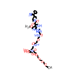 C#CCOCCOCCOCCOCCC(=O)N(CCCNC(=O)CCOCCNC(=O)c1ncn(-c2ncc(OC)c3c(C(=O)C(=O)N4CCC(=C(C#N)c5ccccc5)CC4)c[nH]c23)n1)C(CO)(CO)CO